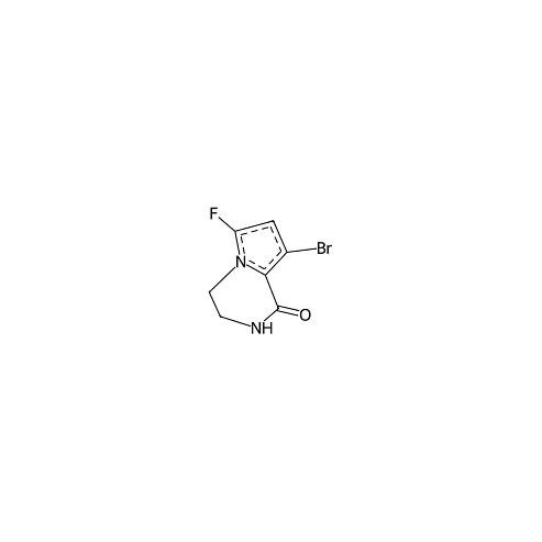 O=C1NCCn2c(F)cc(Br)c21